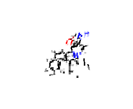 Cc1c(-c2c3c(cc[n+]2C)NCO3)ccc2ccccc12